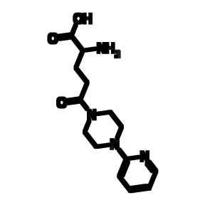 NC(CCC(=O)N1CCN(c2ccccn2)CC1)C(=O)O